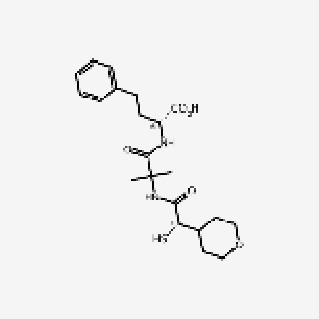 CC(C)(NC(=O)[C@@H](S)C1CCOCC1)C(=O)N[C@H](CCc1ccccc1)C(=O)O